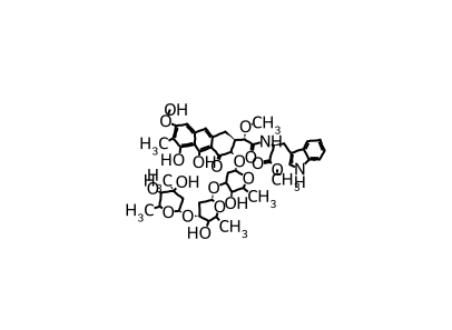 COC(=O)[C@H](Cc1c[nH]c2ccccc12)NC(=O)[C@@H](OC)[C@@H]1Cc2cc3cc(OO)c(C)c(O)c3c(O)c2C(=O)[C@H]1O[C@H]1CC(O[C@H]2C[C@@H](O[C@H]3C[C@](C)(O)[C@H](O)C(C)O3)C(O)C(C)O2)[C@H](O)C(C)O1